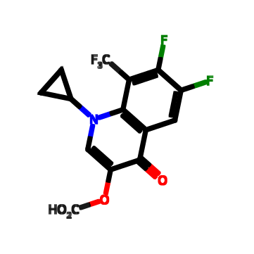 O=C(O)Oc1cn(C2CC2)c2c(C(F)(F)F)c(F)c(F)cc2c1=O